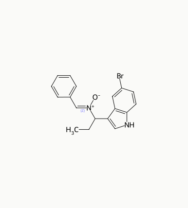 CCC(c1c[nH]c2ccc(Br)cc12)/[N+]([O-])=C/c1ccccc1